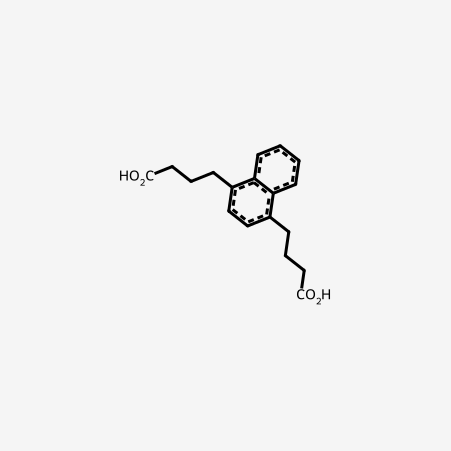 O=C(O)CCCc1ccc(CCCC(=O)O)c2ccccc12